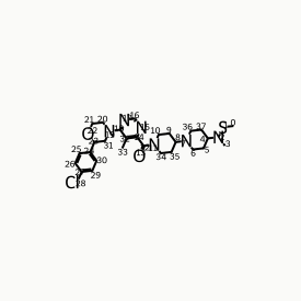 CSN(C)C1CCN(C2CCN(C(=O)c3ncnc(N4CCOC(c5ccc(Cl)cc5)C4)c3C)CC2)CC1